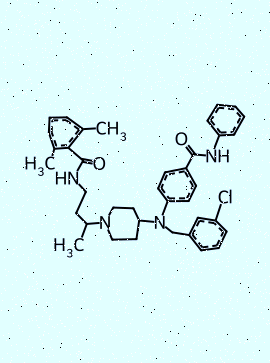 Cc1cccc(C)c1C(=O)NCCC(C)N1CCC(N(Cc2cccc(Cl)c2)c2ccc(C(=O)Nc3ccccc3)cc2)CC1